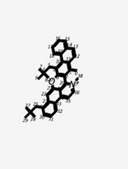 Cc1c2c(c(CC(C)(C)C)c3c1ccc1ccccc13)Oc1cc3c(CC(C)(C)C)cccc3c3cc[n+](C)c-2c13